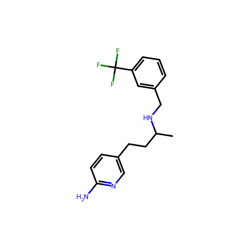 CC(CCc1ccc(N)nc1)NCc1cccc(C(F)(F)F)c1